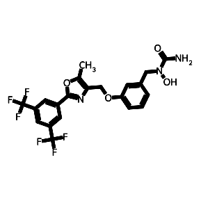 Cc1oc(-c2cc(C(F)(F)F)cc(C(F)(F)F)c2)nc1COc1cccc(CN(O)C(N)=O)c1